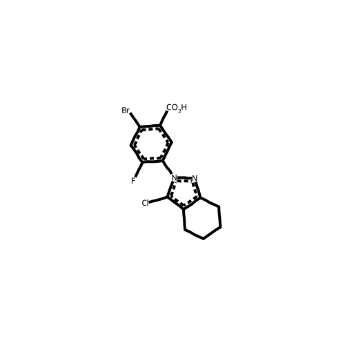 O=C(O)c1cc(-n2nc3c(c2Cl)CCCC3)c(F)cc1Br